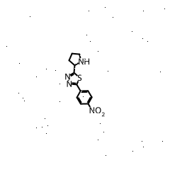 O=[N+]([O-])c1ccc(-c2nnc(C3CCCN3)s2)cc1